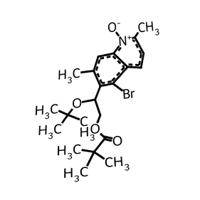 Cc1cc2c(ccc(C)[n+]2[O-])c(Br)c1C(COC(=O)C(C)(C)C)OC(C)(C)C